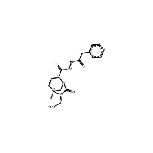 O=C(Cc1ccncc1)NNC(=O)[C@@H]1CC[C@@H]2CN1C(=O)N2OS(=O)(=O)O